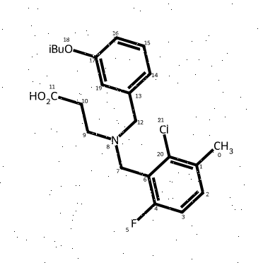 Cc1ccc(F)c(CN(CCC(=O)O)Cc2cccc(OCC(C)C)c2)c1Cl